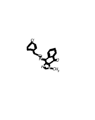 Cn1cnc2c1C(=O)c1ccccc1/C2=N\OCc1ccc(Cl)cc1